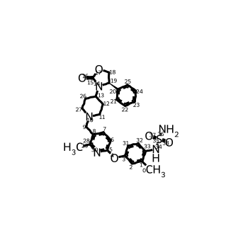 Cc1cc(Oc2ccc(CN3CCC(N4C(=O)OC[C@H]4c4ccccc4)CC3)c(C)n2)ccc1NS(N)(=O)=O